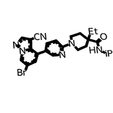 CCC1(C(=O)NC(C)C)CCN(c2ccc(-c3cc(Br)cn4ncc(C#N)c34)cn2)CC1